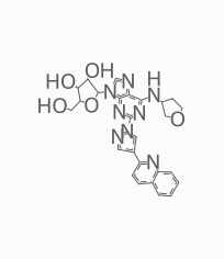 OCC1OC(n2cnc3c(N[C@@H]4CCOC4)nc(-n4cc(-c5ccc6ccccc6n5)cn4)nc32)[C@H](O)[C@@H]1O